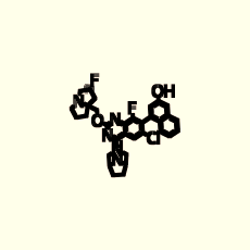 Oc1cc(-c2c(Cl)cc3c(N4CC5CCC(C4)N5)nc(OCC45CCCN4C[C@H](F)C5)nc3c2F)c2ccccc2c1